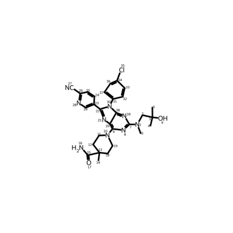 CN(CC(C)(C)O)c1nc(N2CCC(C)(C(N)=O)CC2)c2nc(-c3ccc(C#N)nc3)n(-c3ccc(Cl)cc3)c2n1